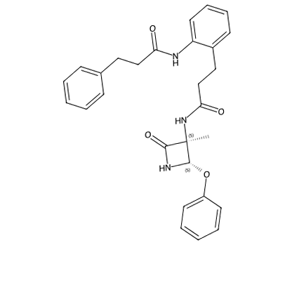 C[C@@]1(NC(=O)CCc2ccccc2NC(=O)CCc2ccccc2)C(=O)N[C@H]1Oc1ccccc1